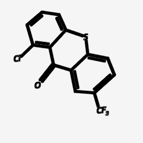 O=c1c2cc(C(F)(F)F)ccc2sc2cccc(Cl)c12